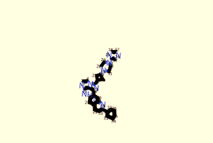 Nc1nccn2c(C3CC(N4CCN(c5cnccn5)CC4)C3)nc(-c3ccc4ccc(-c5ccccc5)nc4c3)c12